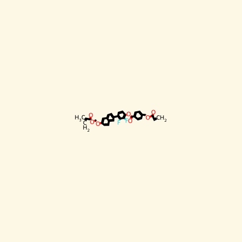 C=CC(=O)OCc1ccc(C(=O)Oc2ccc(-c3ccc4cc(OCOC(=O)C(=C)C)ccc4c3)c(F)c2F)cc1